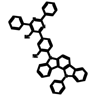 N#Cc1cc(-c2nc(-c3ccccc3)nc(-c3ccccc3)c2C#N)ccc1-n1c2ccccc2c2c1ccc1c3ccccc3n(-c3ccccc3)c12